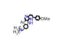 COc1ccc(-c2ccc3ncc(C(C)=O)c(N[C@H]4CC[C@H](CN(C)C)CC4)c3n2)cc1